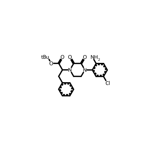 CC(C)(C)OC(=O)C(Cc1ccccc1)N1CCN(c2cc(Cl)ccc2N)C(=O)C1=O